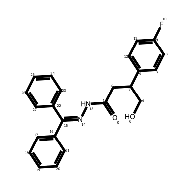 O=C(CC(CO)c1ccc(F)cc1)NN=C(c1ccccc1)c1ccccc1